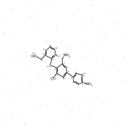 NCc1cc(-c2ccc(N)nc2)cc(Cl)c1Sc1ncccc1CO